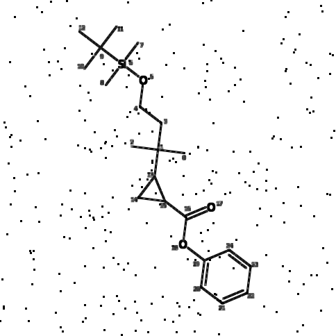 CC(C)(CCO[Si](C)(C)C(C)(C)C)C1CC1C(=O)Oc1ccccc1